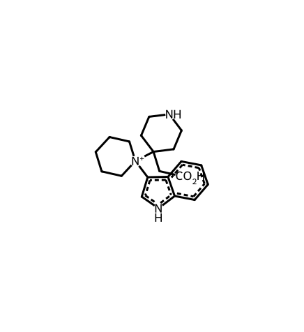 O=C(O)CC1([N+]2(c3c[nH]c4ccccc34)CCCCC2)CCNCC1